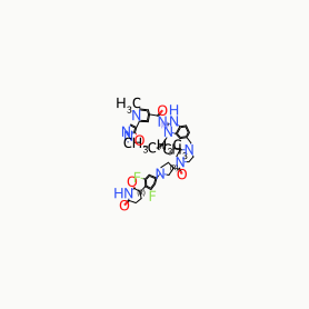 Cc1cc2cc(n1)-c1cnn(C)c1OCCC[C@@H](C)CN1/C(=N/C2=O)Nc2ccc(CN3CCN(C(=O)[C@@H]4CCN(c5cc(F)c([C@H]6CCC(=O)NC6=O)c(F)c5)C4)CC3)c(C)c21